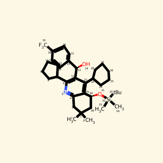 CC1(C)Cc2nc(C3CCCC3)c([C@H](O)c3ccc(C(F)(F)F)cc3)c(C3CCCCC3)c2[C@@H](O[Si](C)(C)C(C)(C)C)C1